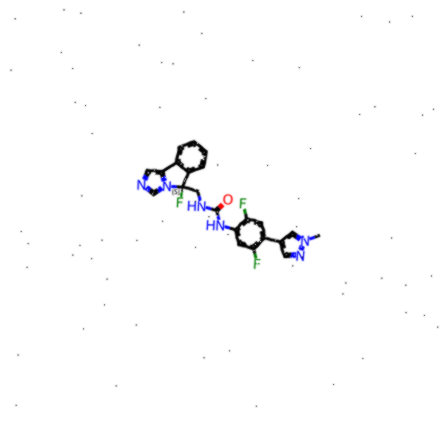 Cn1cc(-c2cc(F)c(NC(=O)NC[C@@]3(F)c4ccccc4-c4cncn43)cc2F)cn1